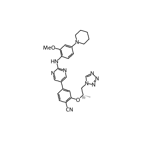 COc1cc(N2CCCCC2)ccc1Nc1ncc(-c2ccc(C#N)c(O[C@@H](C)Cn3cnnn3)c2)cn1